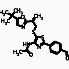 C=C(CSc1sc(-c2ccc(C=O)cc2)nc1NC(C)=O)c1ncc(C(C)(C)C)o1